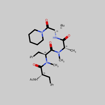 CC[C@H](C)[C@H](NC(=O)[C@H](C)N(C)C(=O)[C@H](CC(C)C)N(C)C(=O)[C@H](CC(C)C)NC(C)=O)C(=O)N1CCCCC1